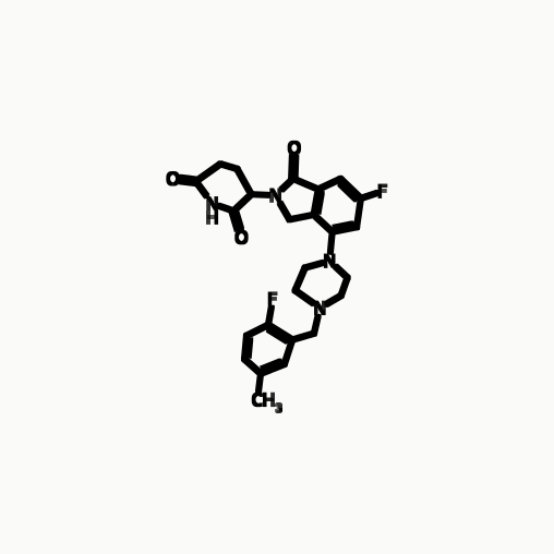 Cc1ccc(F)c(CN2CCN(c3cc(F)cc4c3CN(C3CCC(=O)NC3=O)C4=O)CC2)c1